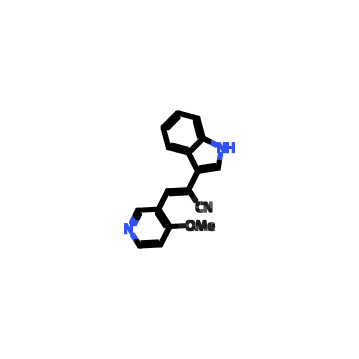 COc1ccncc1C=C(C#N)c1c[nH]c2ccccc12